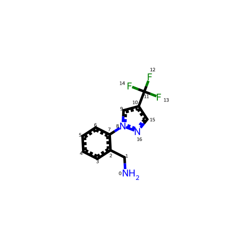 NCc1ccccc1-n1cc(C(F)(F)F)cn1